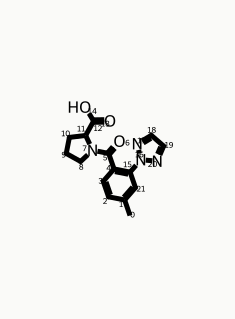 Cc1ccc(C(=O)N2CCCC2C(=O)O)c(-n2nccn2)c1